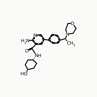 C[C@@H](c1ccc(-c2cnc(N)c(C(=O)N[C@H]3CC[C@H](O)CC3)c2)cc1)N1CCOCC1